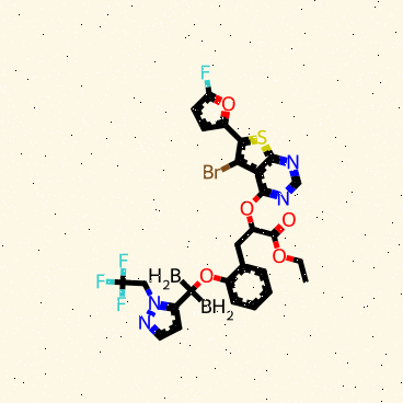 BC(B)(Oc1ccccc1CC(Oc1ncnc2sc(-c3ccc(F)o3)c(Br)c12)C(=O)OCC)c1ccnn1CC(F)(F)F